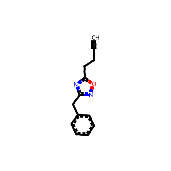 C#CCCc1nc(Cc2ccccc2)no1